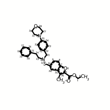 CCOC(=O)c1oc2ccc(SN(CCc3ccccc3)Cc3ccc(N4CCOCC4)cc3)cc2c1C